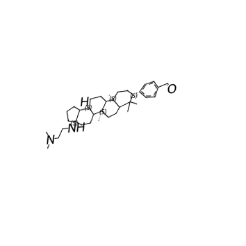 CN(C)CCN[C@]12CCCC1[C@H]1CCC3[C@@](C)(CCC4C(C)(C)[C@@H](c5ccc(C=O)cc5)CC[C@@]43C)C1CC2